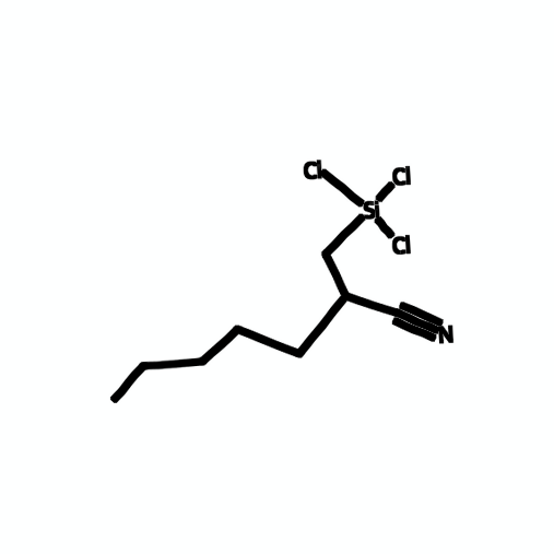 CCCCCC(C#N)C[Si](Cl)(Cl)Cl